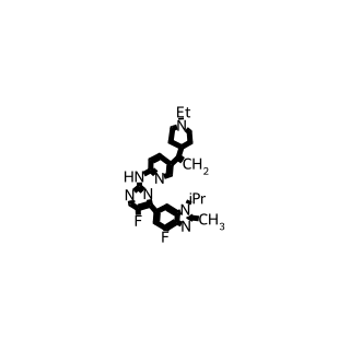 C=C(c1ccc(Nc2ncc(F)c(-c3cc(F)c4nc(C)n(C(C)C)c4c3)n2)nc1)C1CCN(CC)CC1